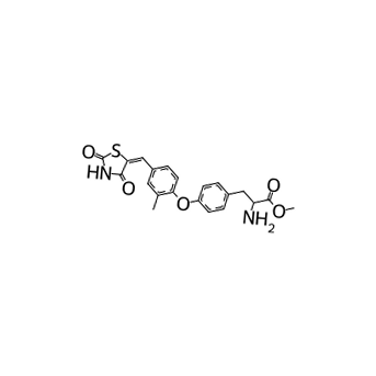 COC(=O)C(N)Cc1ccc(Oc2ccc(/C=C3/SC(=O)NC3=O)cc2C)cc1